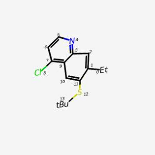 CCc1cc2nccc(Cl)c2cc1SC(C)(C)C